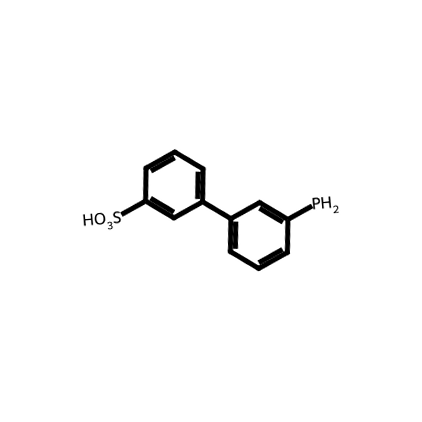 O=S(=O)(O)c1cccc(-c2cccc(P)c2)c1